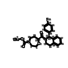 CC(C)(C)OC(=O)N1CCO[C@H](C(=O)N2CCc3ccccc3[C@@H]2c2ccc(F)cc2)CC1